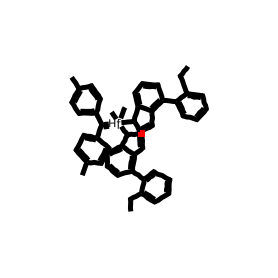 CCc1ccccc1-c1cccc2c1C=C[CH]2[Hf]([CH3])([CH3])(=[C](c1ccc(C)cc1)c1ccc(C)cc1)[CH]1C=Cc2c(-c3ccccc3CC)cccc21